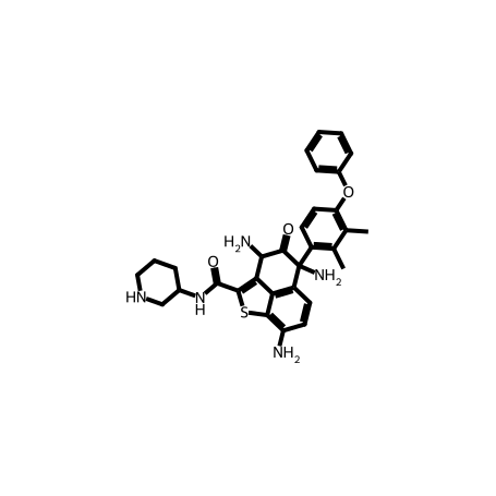 Cc1c(Oc2ccccc2)ccc(C2(N)C(=O)C(N)c3c(C(=O)NC4CCCNC4)sc4c(N)ccc2c34)c1C